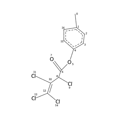 Cc1ccc(OC(=O)C(Cl)C(Cl)=C(Cl)Cl)cc1